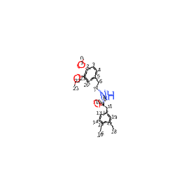 COc1ccc(CCNC(=O)Cc2ccc(C)c(C)c2)cc1OC